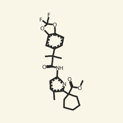 COC(=O)C1(c2nc(NC(=O)C(C)(C)c3ccc4c(c3)OC(F)(F)O4)ccc2C)CCCCC1